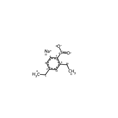 CCc1ccc(S(=O)[O-])c(CC)c1.[Na+]